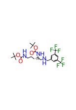 CC(C)(C)OC(=O)NCCC[C@@H](CNCc1cc(C(F)(F)F)cc(C(F)(F)F)c1)NC(=O)OC(C)(C)C